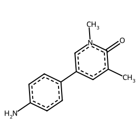 Cc1cc(-c2ccc(N)cc2)cn(C)c1=O